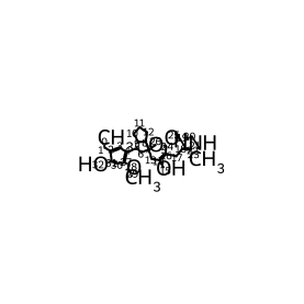 CCc1cc(CCC2(C3CCCC3)CC(O)=C(Cc3nc[nH]c3C)C(=O)O2)c(OC)cc1O